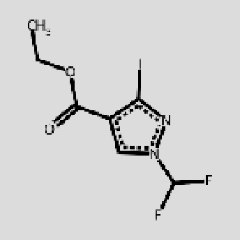 CCOC(=O)c1cn(C(F)F)nc1I